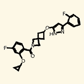 O=C(c1ccc(F)cc1OC1CC1)N1CC2(CC(Oc3cc(-c4ccccc4F)n[nH]3)C2)C1